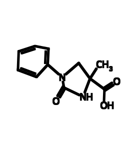 CC1(C(=O)O)CN(c2ccccc2)C(=O)N1